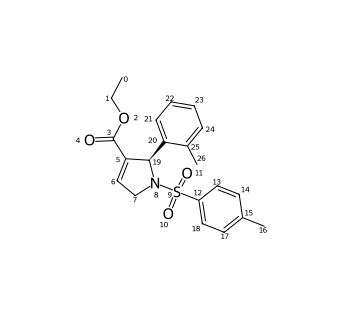 CCOC(=O)C1=CCN(S(=O)(=O)c2ccc(C)cc2)[C@@H]1c1ccccc1C